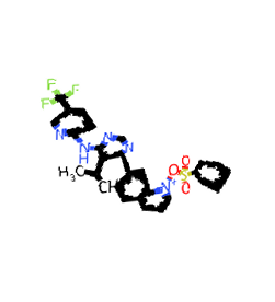 CC(C)c1c(Nc2ccc(C(F)(F)F)cn2)ncnc1-c1ccc2ccc[n+](OS(=O)(=O)c3ccccc3)c2c1